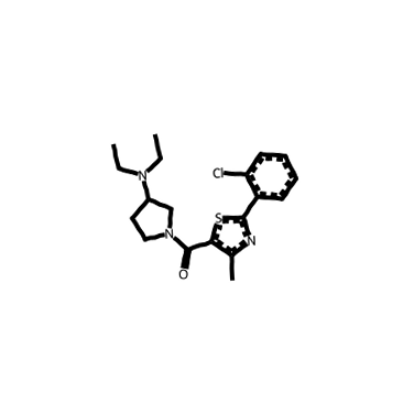 CCN(CC)C1CCN(C(=O)c2sc(-c3ccccc3Cl)nc2C)C1